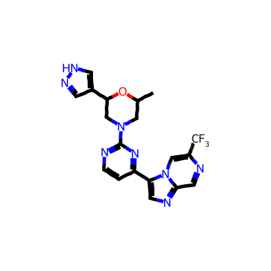 CC1CN(c2nccc(-c3cnc4cnc(C(F)(F)F)cn34)n2)CC(c2cn[nH]c2)O1